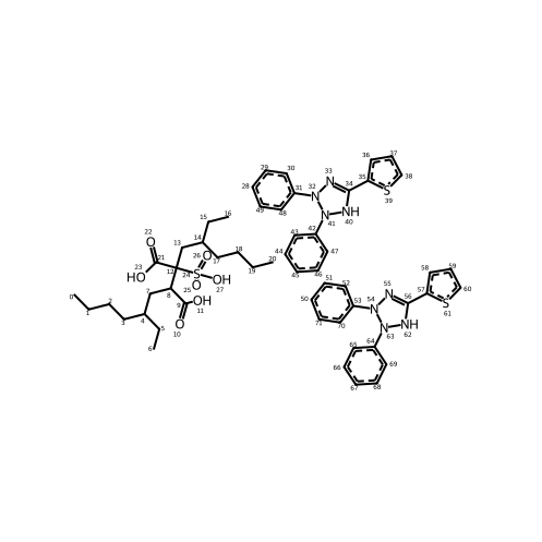 CCCCC(CC)CC(C(=O)O)C(CC(CC)CCCC)(C(=O)O)S(=O)(=O)O.c1ccc(N2N=C(c3cccs3)NN2c2ccccc2)cc1.c1ccc(N2N=C(c3cccs3)NN2c2ccccc2)cc1